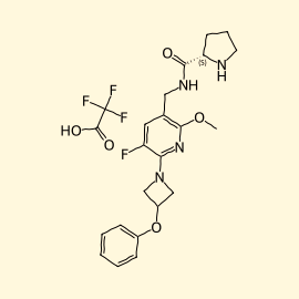 COc1nc(N2CC(Oc3ccccc3)C2)c(F)cc1CNC(=O)[C@@H]1CCCN1.O=C(O)C(F)(F)F